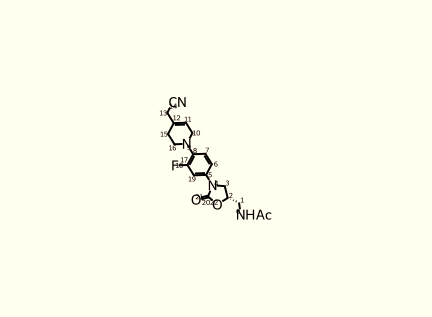 CC(=O)NC[C@H]1CN(c2ccc(N3CC=C(CC#N)CC3)c(F)c2)C(=O)O1